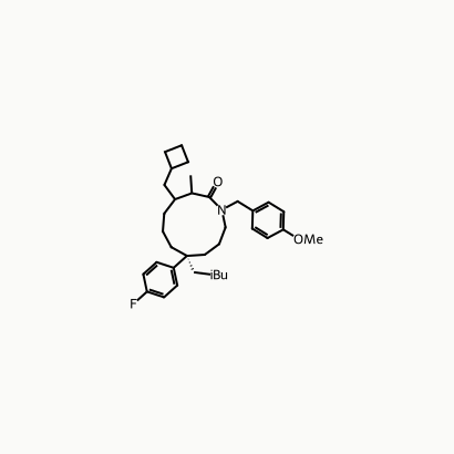 CCC(C)C[C@]1(c2ccc(F)cc2)CCCC(CC2CCC2)C(C)C(=O)N(Cc2ccc(OC)cc2)CCC1